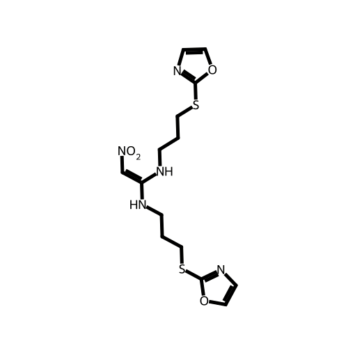 O=[N+]([O-])C=C(NCCCSc1ncco1)NCCCSc1ncco1